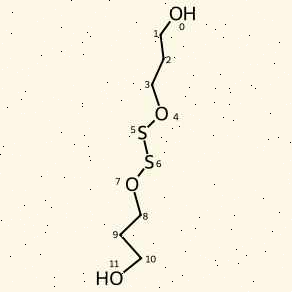 OCCCOSSOCCCO